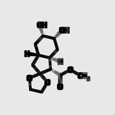 COC(=O)[C@H]1[C@@H]2C[C@@H](O)[C@@H](O)C[C@H]2CC12OCCO2